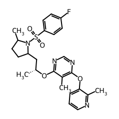 Cc1ncccc1Oc1ncnc(O[C@H](C)CC2CCC(C)N2S(=O)(=O)c2ccc(F)cc2)c1C